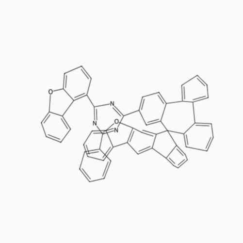 c1ccc(-c2nc(-c3ccc4c(c3)C3(c5ccccc5-c5ccccc5-4)c4ccccc4-c4cc5c(cc43)oc3ccccc35)nc(-c3cccc4oc5ccccc5c34)n2)cc1